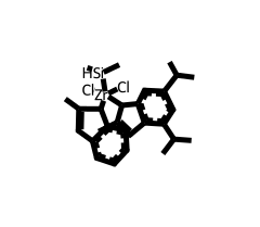 CC1=Cc2ccccc2[CH]1[Zr]([Cl])([Cl])([CH]1C(C)=Cc2c(C(C)C)cc(C(C)C)cc21)[SiH](C)C